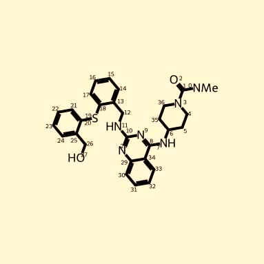 CNC(=O)N1CCC(Nc2nc(NCc3ccccc3Sc3ccccc3CO)nc3ccccc23)CC1